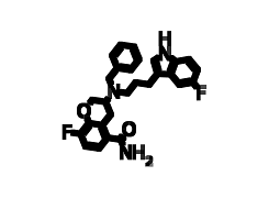 NC(=O)c1ccc(F)c2c1CC(N(CCCc1c[nH]c3ccc(F)cc13)Cc1ccccc1)CO2